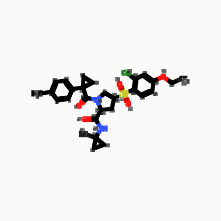 Cc1ccc(C2(C(=O)N3C[C@H](S(=O)(=O)c4ccc(OCC(F)(F)F)cc4Cl)C[C@H]3C(=O)NC3(C#N)CC3)CC2)cc1